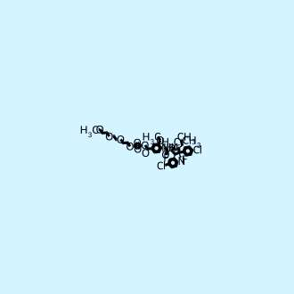 COCCOCCOCCOC1OC(OC(=O)c2ccc(NC(=O)[C@@H]3N[C@@H](CC(C)(C)C)[C@](C#N)(c4ccc(Cl)cc4F)[C@H]3c3cccc(Cl)c3F)c(OC)c2)O1